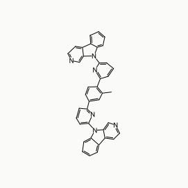 Cc1cc(-c2cccc(-n3c4ccccc4c4ccncc43)n2)ccc1-c1cccc(-n2c3ccccc3c3ccncc32)n1